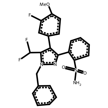 COc1ccc(-c2c(-c3ccccc3S(N)(=O)=O)nn(Cc3ccccc3)c2C(F)F)cc1F